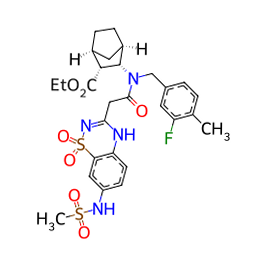 CCOC(=O)[C@@H]1[C@H]2CC[C@H](C2)[C@@H]1N(Cc1ccc(C)c(F)c1)C(=O)CC1=NS(=O)(=O)c2cc(NS(C)(=O)=O)ccc2N1